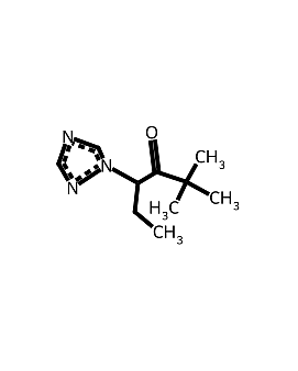 CCC(C(=O)C(C)(C)C)n1cncn1